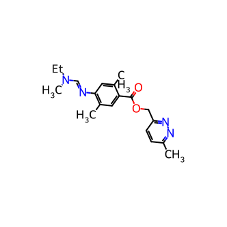 CCN(C)/C=N/c1cc(C)c(C(=O)OCc2ccc(C)nn2)cc1C